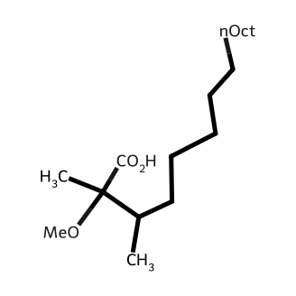 CCCCCCCCCCCCCC(C)C(C)(OC)C(=O)O